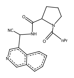 CCCC(=O)N1CCCC1C(=O)NC(C#N)c1cncc2ccccc12